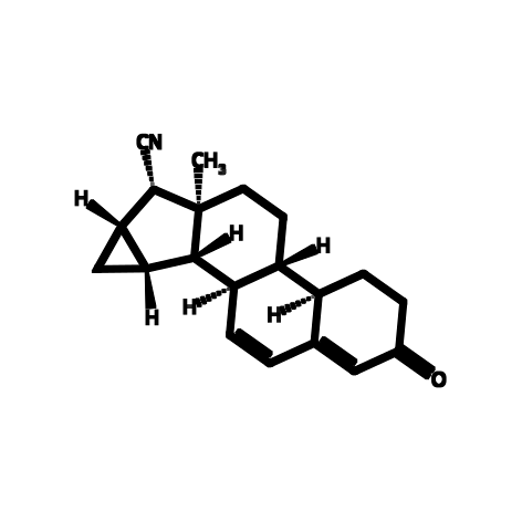 C[C@]12CC[C@H]3[C@@H](C=CC4=CC(=O)CC[C@@H]43)[C@@H]1[C@@H]1C[C@@H]1[C@@H]2C#N